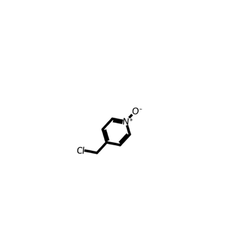 [O-][n+]1ccc(CCl)cc1